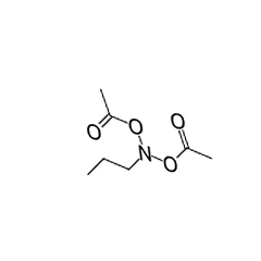 CCCN(OC(C)=O)OC(C)=O